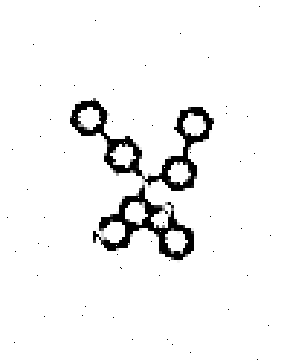 c1ccc(-c2ccc(N(c3cccc(-c4ccccc4)c3)c3cc4cnccc4c4c3oc3ccccc34)cc2)cc1